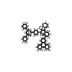 C1=CCC2Oc3c(-c4ccc(-c5nc(-c6ccccc6)cc(-c6ccccc6)n5)cc4)nc4c(-c5ccc6c7ccccc7c7ccccc7c6c5)cccc4c3C2=C1